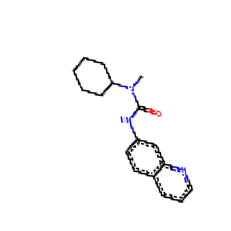 CN(C(=O)Nc1ccc2cccnc2c1)C1CCCCC1